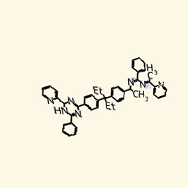 CCC(CC)(c1ccc(C2=NC(c3ccccn3)NC(c3ccccc3)=N2)cc1)c1ccc(C(C)/N=C(\N=C(/C)c2ccccn2)C2=CCCC=C2)cc1